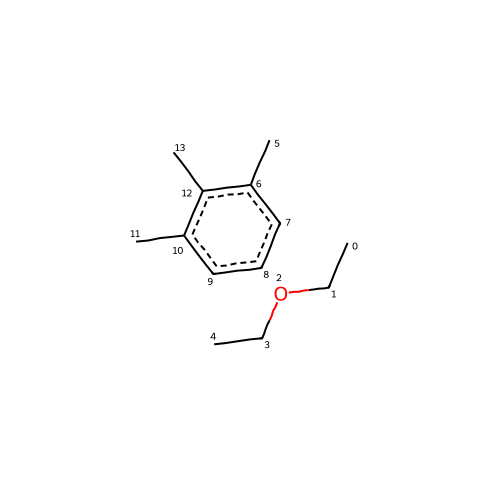 CCOCC.Cc1cccc(C)c1C